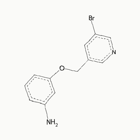 Nc1cccc(OCc2cncc(Br)c2)c1